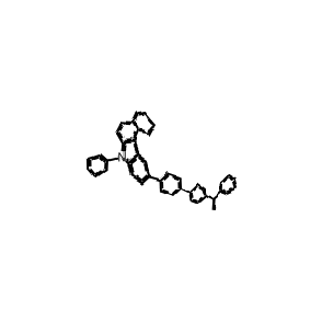 C=C(c1ccccc1)c1ccc(-c2ccc(-c3ccc4c(c3)c3c5ccccc5ccc3n4-c3ccccc3)cc2)cc1